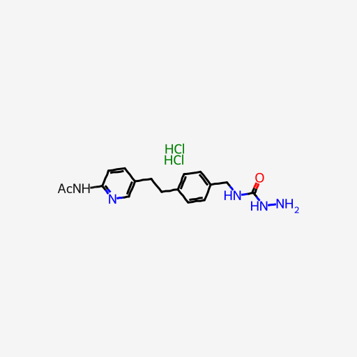 CC(=O)Nc1ccc(CCc2ccc(CNC(=O)NN)cc2)cn1.Cl.Cl